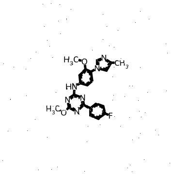 COc1nc(Nc2ccc(-n3cnc(C)c3)c(OC)c2)nc(-c2ccc(F)cc2)n1